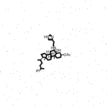 CC(=O)O[C@H]1CC[C@]2(C)[C@H]3CC[C@]4(C)[C@@H](C(C)CCC(C)C(C)C)CC[C@H]4[C@@H]3CC(NCCc3c[nH]cn3)[C@@]2(O)C1